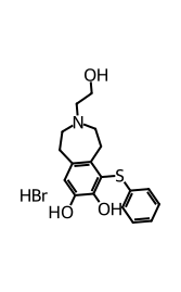 Br.OCCN1CCc2cc(O)c(O)c(Sc3ccccc3)c2CC1